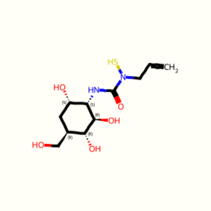 C=CCN(S)C(=O)N[C@@H]1[C@@H](O)[C@H](O)[C@@H](CO)C[C@@H]1O